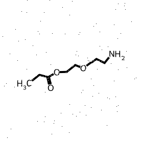 CCC(=O)OCCOCCN